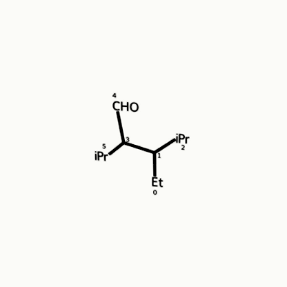 CCC(C(C)C)C(C=O)C(C)C